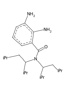 CC(C)CC(C(C)C)N(C(=O)c1cccc(N)c1N)C(CC(C)C)C(C)C